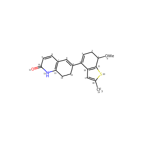 COC1CC=C(C2=Cc3ccc(=O)[nH]c3CC2)c2cc(C(F)(F)F)sc21